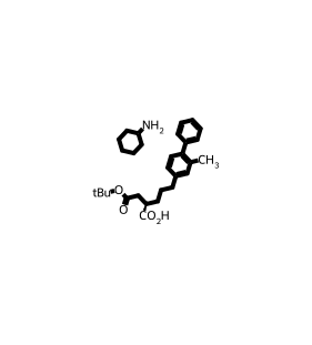 Cc1cc(CCC[C@H](CC(=O)OC(C)(C)C)C(=O)O)ccc1-c1ccccc1.NC1CCCCC1